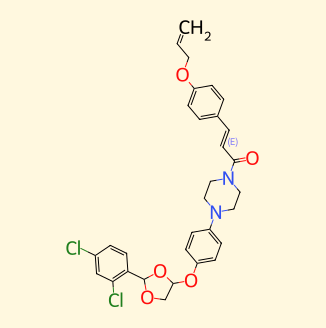 C=CCOc1ccc(/C=C/C(=O)N2CCN(c3ccc(OC4COC(c5ccc(Cl)cc5Cl)O4)cc3)CC2)cc1